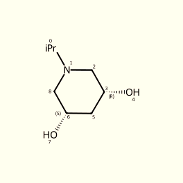 CC(C)N1C[C@H](O)C[C@H](O)C1